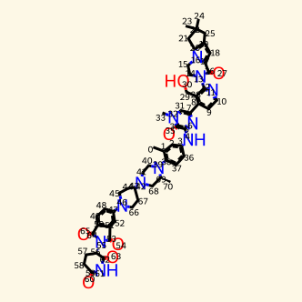 Cc1cc(Nc2nc(-c3ccnc(N4CCn5c(cc6c5CC(C)(C)C6)C4=O)c3CO)cn(C)c2=O)ccc1N1CCN(C2CCN(c3ccc4c(c3)C(=O)N([C@H]3CCC(=O)NC3=O)C4=O)CC2)C[C@@H]1C